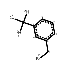 [2H]C([2H])([2H])c1cccc(CBr)c1